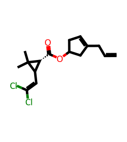 C=CCC1=CCC(OC(=O)[C@@H]2C(C=C(Cl)Cl)C2(C)C)C1